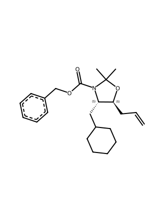 C=CC[C@@H]1OC(C)(C)N(C(=O)OCc2ccccc2)[C@H]1CC1CCCCC1